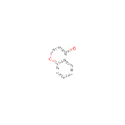 O=c1ccoc2cc[c]cc12